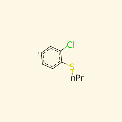 CCCSc1cc[c]cc1Cl